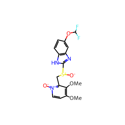 COc1cc[n+]([O-])c(C[S+]([O-])c2nc3cc(OC(F)F)ccc3[nH]2)c1OC